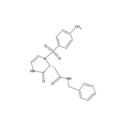 Cc1ccc(S(=O)(=O)N2C=CNC(=O)[C@H]2CC(=O)NCc2ccccc2)cc1